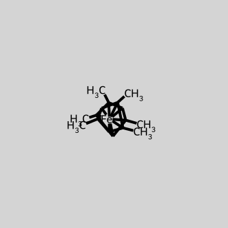 C[C]12[CH]3[C]4(C)[C]5(C)[CH]1[Fe]32451678[CH]2[C]1(C)[CH]6[C]7(C)[C]28C